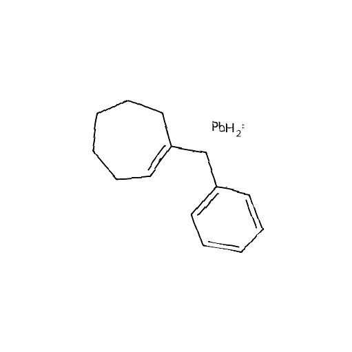 C1=C(Cc2ccccc2)CCCCC1.[PbH2]